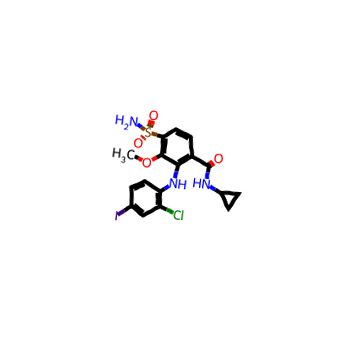 COc1c(S(N)(=O)=O)ccc(C(=O)NC2CC2)c1Nc1ccc(I)cc1Cl